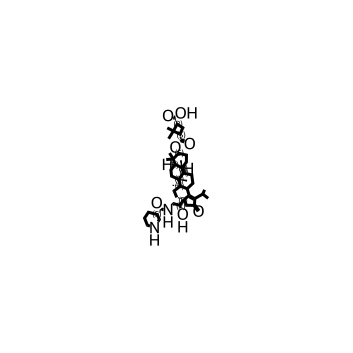 CC(C)C1=C2C3CC[C@@H]4[C@@]5(C)CC[C@H](OC(=O)[C@H]6C[C@@H](C(=O)O)C6(C)C)C(C)(C)[C@@H]5CC[C@@]4(C)[C@]3(C)CC[C@@]2([C@@H](O)CNC(=O)[C@H]2CCCNC2)CC1=O